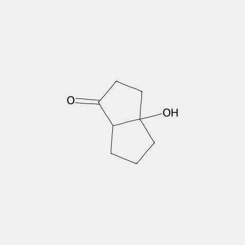 O=C1CCC2(O)CCCC12